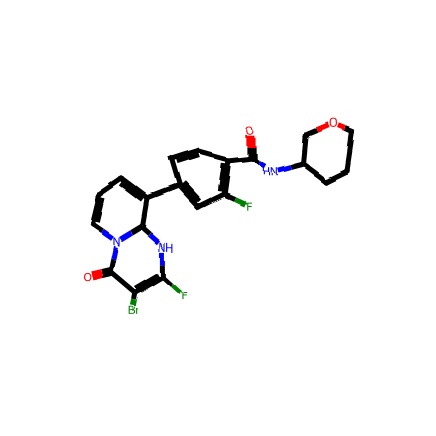 O=C(NC1CCCOC1)c1ccc(C2=CC=CN3C(=O)C(Br)=C(F)NC23)cc1F